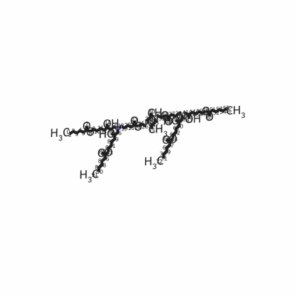 CCCCCCC(=O)OCCCCC(O)CC/C(=C/CCCC(=O)OCCN1CC(C)N(CCOC(=O)CCCN(CC(O)CCCCOC(=O)CCCCCC)CC(O)CCCCOC(=O)CCCCCC)CC1C)CC(O)CCCCOC(=O)CCCCCC